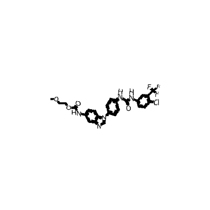 COCCOC(=O)Nc1ccc2c(c1)ncn2-c1ccc(NC(=O)Nc2ccc(Cl)c(C(F)(F)F)c2)cc1